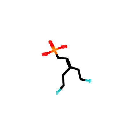 O=P(O)(O)CC=C(CCF)CCF